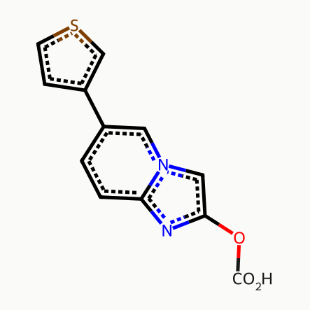 O=C(O)Oc1cn2cc(-c3ccsc3)ccc2n1